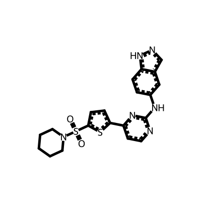 O=S(=O)(c1ccc(-c2ccnc(Nc3ccc4[nH]ncc4c3)n2)s1)N1CCCCC1